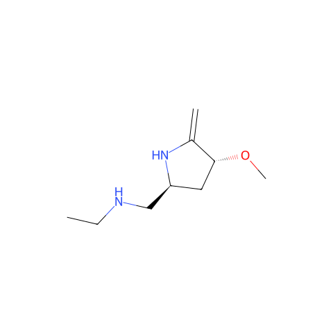 C=C1N[C@H](CNCC)C[C@H]1OC